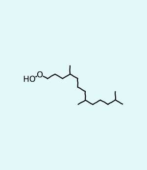 CC(C)CCCC(C)CCCC(C)CCCOO